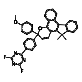 COc1ccc(C2(c3ccc(-c4nc(F)nc(F)n4)cc3)C=Cc3c4c(c5ccccc5c3O2)-c2ccccc2C4(C)C)cc1